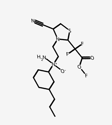 CCCC1CCCC([N+](N)([O-])CCN2C(C#N)CSC2C(F)(F)C(=O)OF)C1